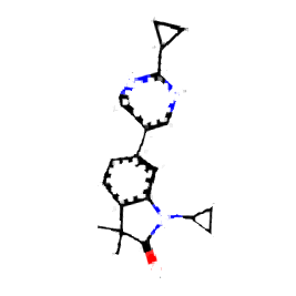 CC1(C)C(=O)N(C2CC2)c2cc(-c3cnc(C4CC4)nc3)ccc21